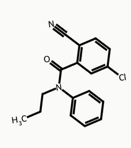 CCCN(C(=O)c1cc(Cl)ccc1C#N)c1ccccc1